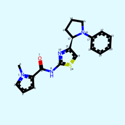 Cn1cccc1C(=O)Nc1nc([C@H]2CCCN2c2ccccc2)cs1